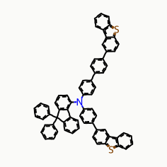 c1ccc(C2(c3ccccc3)c3ccccc3-c3c(N(c4ccc(-c5ccc(-c6ccc7sc8ccccc8c7c6)cc5)cc4)c4ccc(-c5ccc6sc7ccccc7c6c5)cc4)cccc32)cc1